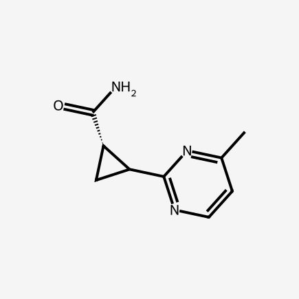 Cc1ccnc(C2C[C@@H]2C(N)=O)n1